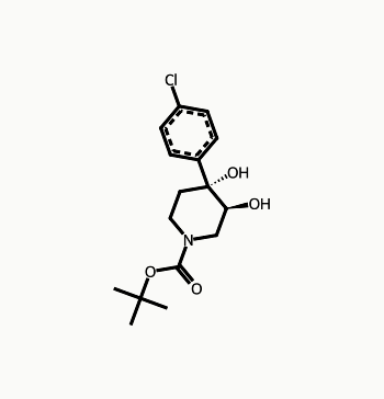 CC(C)(C)OC(=O)N1CC[C@@](O)(c2ccc(Cl)cc2)[C@@H](O)C1